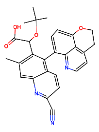 Cc1cc2nc(C#N)ccc2c(-c2ccc3c4c(ccnc24)CCO3)c1C(OC(C)(C)C)C(=O)O